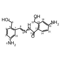 Nc1ccc(CO)c(/C=N/NC(=O)c2ccc(N)cc2CO)c1